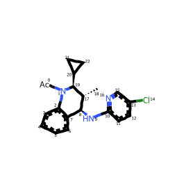 CC(=O)N1c2ccccc2[C@H](Nc2ccc(Cl)cn2)[C@@H](C)[C@@H]1C1CC1